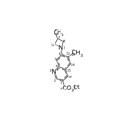 CCOC(=O)c1cnc2cc(N3CC(C)C3)c(C)cc2c1